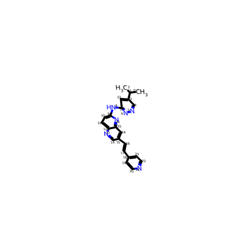 CC(C)c1cnnc(Nc2ccc3ncc(C=Cc4ccncc4)cc3n2)c1